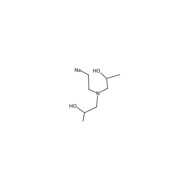 CC(O)CN(C[CH2][Na])CC(C)O